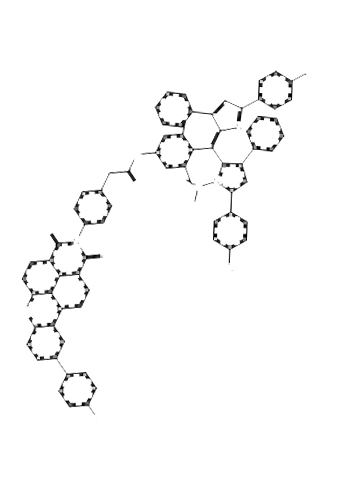 Cc1cc(OC(=O)Cc2ccc(-n3c(=O)c4ccc5oc6ccc(-c7ccc(C(F)(F)F)cc7)cc6c6ccc(c3=O)c4c56)cc2)cc(C)c1/C(=C1/N=C(c2ccc(Br)cc2)C=C1c1ccccc1)c1c(-c2ccccc2)cc(-c2ccc(Br)cc2)n1B(F)F